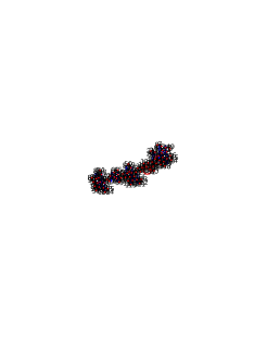 c1ccc(N(c2ccccc2)c2cc3c4c(c2)N(c2ccccc2)c2ccc(-c5cccc6oc7c(-c8ccc(-c9cc%10c%11c(c9)N(c9ccccc9)c9ccc(-c%12cccc%13c%12c%12ccccc%12n%13-c%12ccc(-c%13cc%14c%15c(c%13)N(c%13ccccc%13)c%13ccccc%13B%15c%13ccccc%13N%14c%13ccccc%13)cc%12)cc9B%11c9ccccc9N%10c9ccccc9)cc8)cccc7c56)cc2B4c2ccccc2N3c2ccccc2)cc1